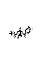 CC(C)(C)OC(=O)N1C[C@H]2CN(C(=O)N3CCS(=O)(=O)CC3)C[C@@H]1C(C)(C)C2